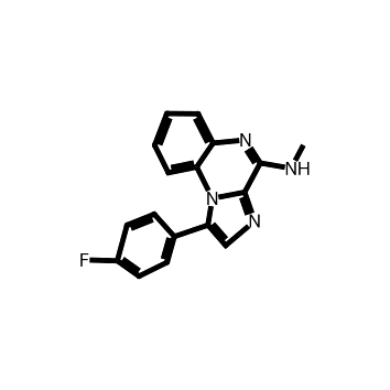 CNc1nc2ccccc2n2c(-c3ccc(F)cc3)cnc12